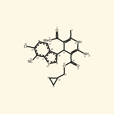 COC(=O)C1=C(C)NC(N)=C(C(=O)OCC2CC2)C1c1csc2c(C#N)c(Cl)ccc12